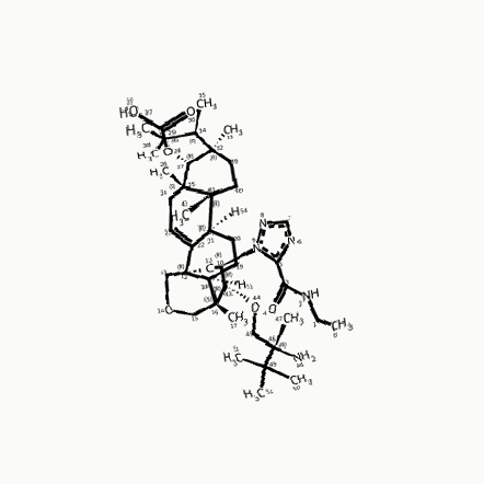 CCNC(=O)c1ncnn1[C@@H]1C[C@@]23COC[C@](C)([C@@H]2CC[C@H]2C3=CC[C@]3(C)[C@H](OC(=O)O)[C@@](C)([C@H](C)C(C)C)CC[C@]23C)[C@H]1OC[C@](C)(N)C(C)(C)C